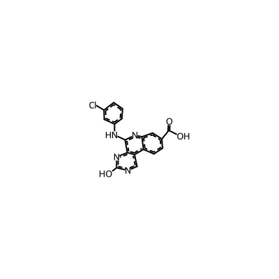 O=C(O)c1ccc2c(c1)nc(Nc1cccc(Cl)c1)c1nc(O)ncc12